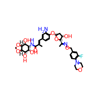 CC(=Cc1ccc(O[C@H]2C[C@H](O)[C@@H](C(C)=NOCc3ccc(N4CCOCC4)c(F)c3)O2)c(N)c1)C(=O)N[C@@H]1[C@H](O)[C@@H](O)[C@H]2OCO[C@H]2[C@@H]1O